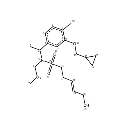 COCN(C(C)c1ccc(F)c(OCC2CC2)c1)S(=O)(=O)CC/C=C/CO